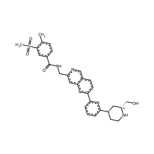 Cc1ccc(C(=O)NCc2cc3nc(-c4cccc(N5CCN[C@@H](CO)C5)n4)ccc3cn2)cc1S(C)(=O)=O